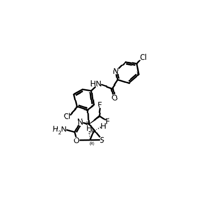 NC1=N[C@@](c2cc(NC(=O)c3ccc(Cl)cn3)ccc2Cl)(C(F)F)[C@H]2S[C@H]2O1